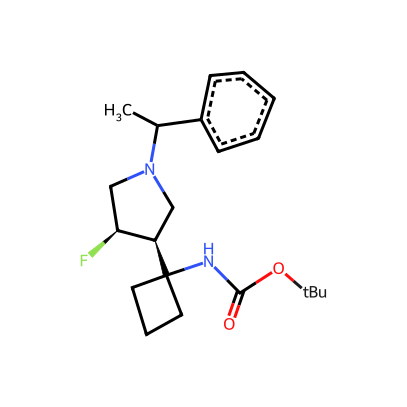 CC(c1ccccc1)N1C[C@@H](C2(NC(=O)OC(C)(C)C)CCC2)[C@@H](F)C1